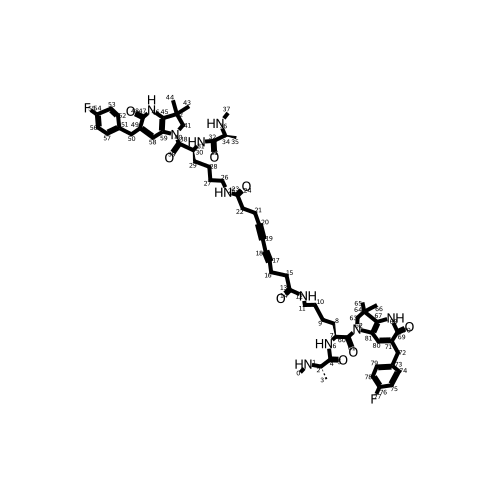 CN[C@@H](C)C(=O)N[C@@H](CCCCNC(=O)CCC#CC#CCCC(=O)NCCCC[C@H](NC(=O)[C@H](C)NC)C(=O)N1CC(C)(C)c2[nH]c(=O)c(Cc3ccc(F)cc3)cc21)C(=O)N1CC(C)(C)c2[nH]c(=O)c(Cc3ccc(F)cc3)cc21